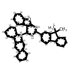 CC1(C)c2ccccc2-c2ccc(-c3nc(-n4c5ccccc5c5cc6ccccc6cc54)c4c(n3)oc3ccccc34)cc21